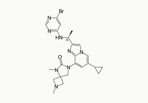 C[C@H](Nc1cc(Br)ncn1)c1cn2cc(C3CC3)cc(N3CC4(CN(C)C4)N(C)C3=O)c2n1